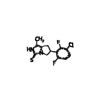 Cc1[nH]c(=S)n2c1CC(c1c(F)ccc(Cl)c1F)C2